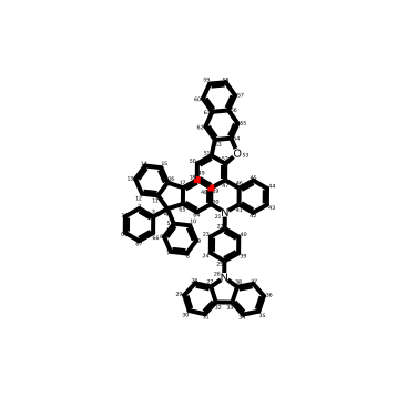 c1ccc(C2(c3ccccc3)c3ccccc3-c3ccc(N(c4ccc(-n5c6ccccc6c6ccccc65)cc4)c4ccccc4-c4cccc5c4oc4cc6ccccc6cc45)cc32)cc1